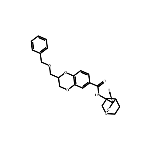 O=C(N[C@H]1CN2CCC1CC2)c1ccc2c(c1)OCC(COCc1ccccc1)O2